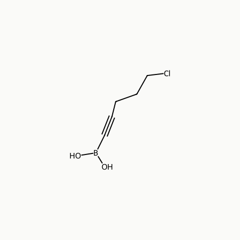 OB(O)C#CCCCCl